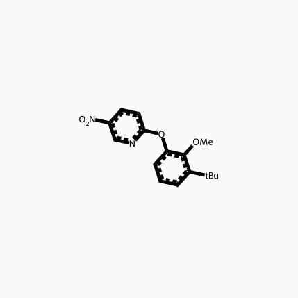 COc1c(C(C)(C)C)[c]ccc1Oc1ccc([N+](=O)[O-])cn1